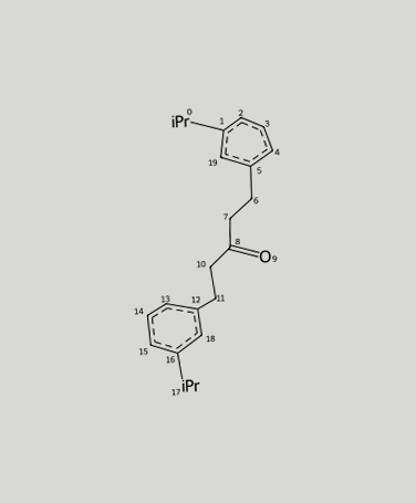 CC(C)c1cccc(CCC(=O)CCc2cccc(C(C)C)c2)c1